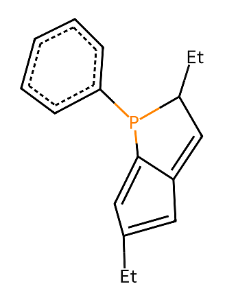 CCC1=CC2=CC(CC)P(c3ccccc3)C2=C1